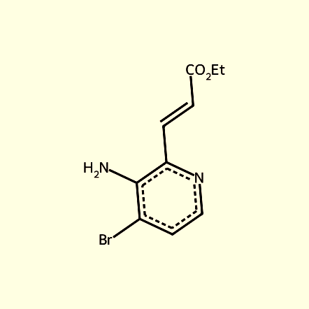 CCOC(=O)C=Cc1nccc(Br)c1N